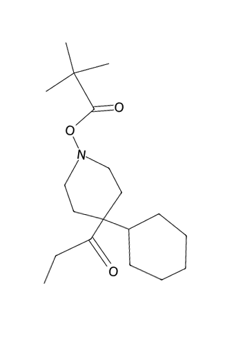 CCC(=O)C1(C2CCCCC2)CCN(OC(=O)C(C)(C)C)CC1